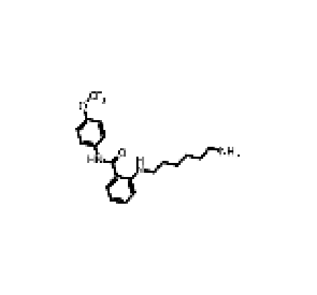 NCCCCCCNc1ccccc1C(=O)Nc1ccc(OC(F)(F)F)cc1